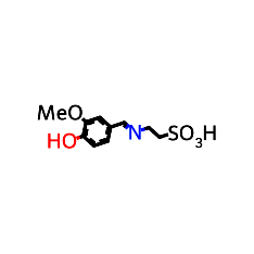 COc1cc(C=NCCS(=O)(=O)O)ccc1O